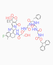 CC[C@@]1(O)C(=O)OCc2c1cc1n(c2=O)Cc2c-1nc1cc(F)c(C)c3c1c2[C@@H](NC(=O)[C@@H](CO)OCNC(=O)CNC(=O)[C@H](Cc1ccccc1)NC(=O)CNC(=O)CNC(=O)OCC1c2ccccc2-c2ccccc21)CC3